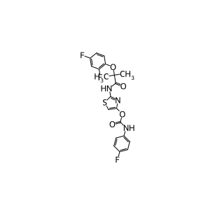 CC(C)(Oc1ccc(F)cc1F)C(=O)Nc1nc(OC(=O)Nc2ccc(F)cc2)cs1